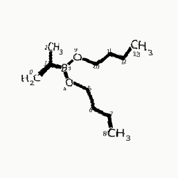 C=C(C)B(OCCCC)OCCCC